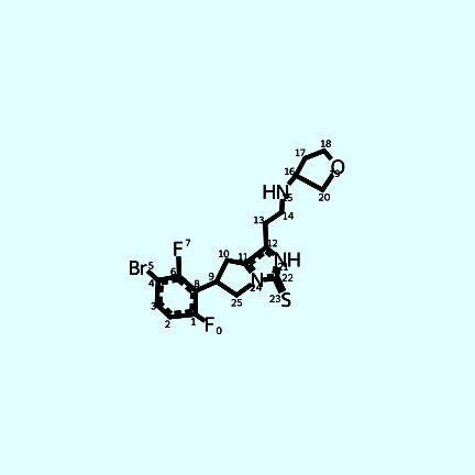 Fc1ccc(Br)c(F)c1C1Cc2c(CCNC3CCOC3)[nH]c(=S)n2C1